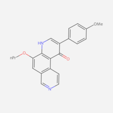 CCCOc1cc2cnccc2c2c(=O)c(-c3ccc(OC)cc3)c[nH]c12